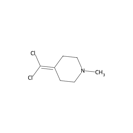 CN1CCC(=C(Cl)Cl)CC1